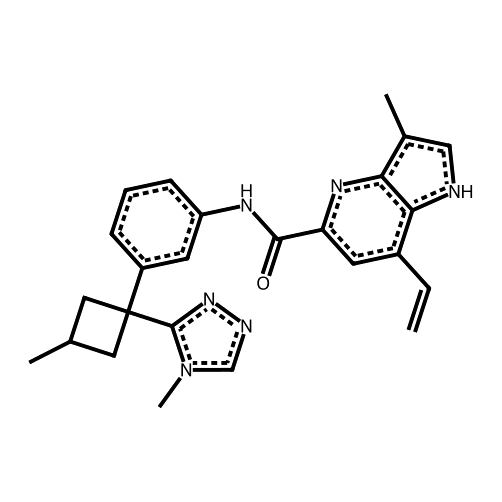 C=Cc1cc(C(=O)Nc2cccc(C3(c4nncn4C)CC(C)C3)c2)nc2c(C)c[nH]c12